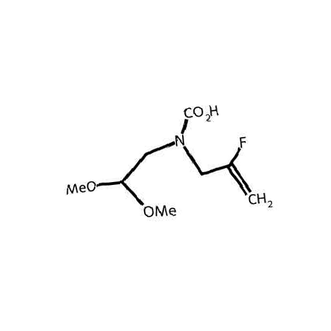 C=C(F)CN(CC(OC)OC)C(=O)O